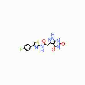 Cn1c(=O)c2c(CC(=O)Nc3nc(-c4ccc(F)cc4)cs3)n[nH]c2n(C)c1=O